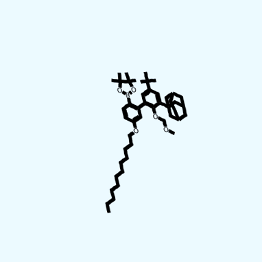 CCCCCCCCCCCCOc1ccc(B2OC(C)(C)C(C)(C)O2)c(-c2cc(C(C)(C)C)cc(C34CC5CC(CC(C5)C3)C4)c2OCOC)c1